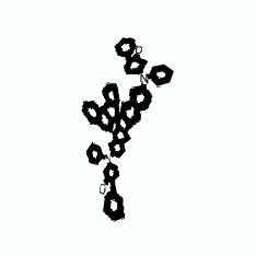 c1ccc(N(c2ccc3cc4c(cc3c2)C2(c3cc5cc(N(c6ccccc6)c6ccc7c(c6)oc6ccccc67)ccc5cc3-4)c3ccccc3-c3c2ccc2ccccc32)c2ccc3c(c2)oc2ccccc23)cc1